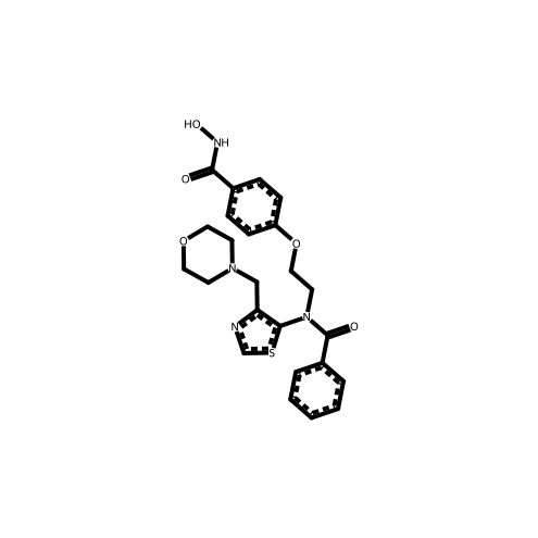 O=C(NO)c1ccc(OCCN(C(=O)c2ccccc2)c2scnc2CN2CCOCC2)cc1